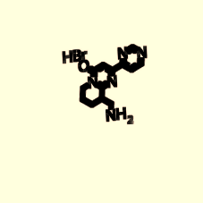 Br.NCC1CCCn2c1nc(-c1ccncn1)cc2=O